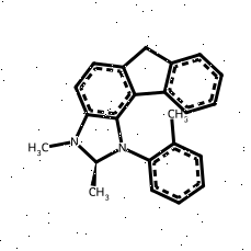 Cc1ccccc1N1c2c(ccc3c2-c2ccccc2C3)N(C)[C@@H]1C